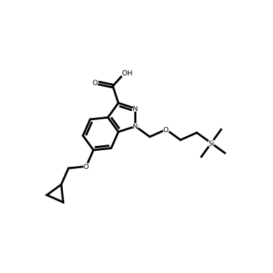 C[Si](C)(C)CCOCn1nc(C(=O)O)c2ccc(OCC3CC3)cc21